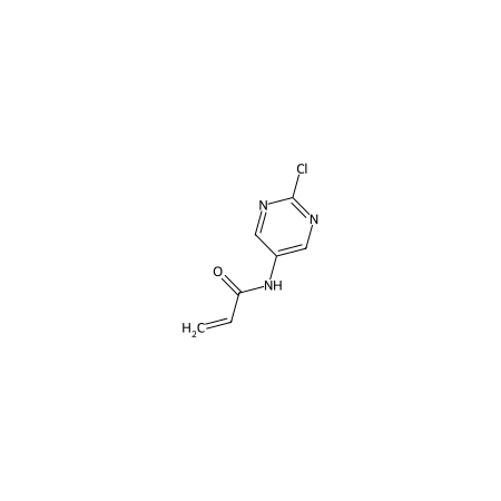 C=CC(=O)Nc1cnc(Cl)nc1